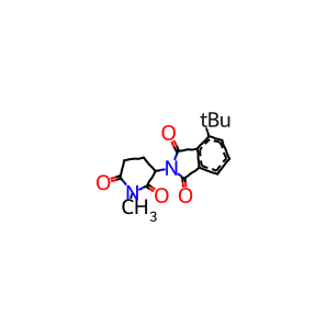 CN1C(=O)CCC(N2C(=O)c3cccc(C(C)(C)C)c3C2=O)C1=O